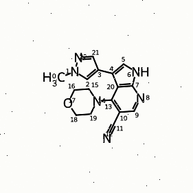 Cn1cc(-c2c[nH]c3ncc(C#N)c(N4CCOCC4)c23)cn1